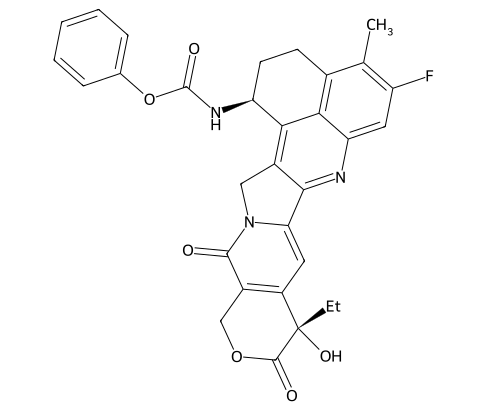 CC[C@@]1(O)C(=O)OCc2c1cc1n(c2=O)Cc2c-1nc1cc(F)c(C)c3c1c2[C@@H](NC(=O)Oc1ccccc1)CC3